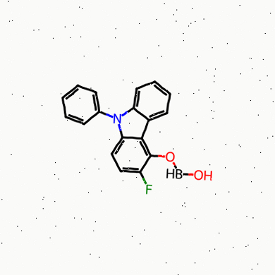 OBOc1c(F)ccc2c1c1ccccc1n2-c1ccccc1